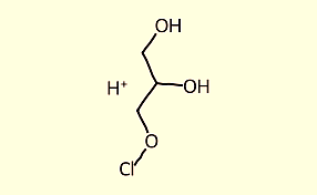 OCC(O)COCl.[H+]